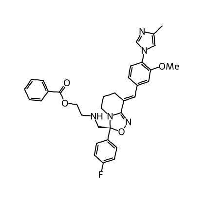 COc1cc(/C=C2\CCCN3C2=NO[C@]3(CNCCOC(=O)c2ccccc2)c2ccc(F)cc2)ccc1-n1cnc(C)c1